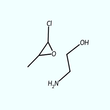 CC1OC1Cl.NCCO